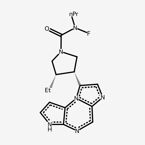 CCCN(F)C(=O)N1C[C@@H](CC)[C@@H](c2cnc3cnc4[nH]ccc4n23)C1